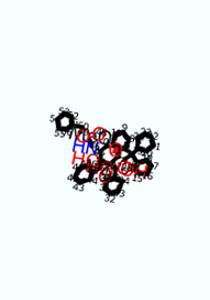 CO[C@H]1O[C@H](C(O)C(c2ccccc2)(c2ccccc2)c2ccccc2)[C@](O)(C(=O)c2ccccc2)[C@@](O)(C(=O)c2ccccc2)[C@@H]1NC(=O)OCc1ccccc1